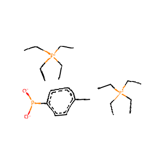 CC[P+](CC)(CC)CC.CC[P+](CC)(CC)CC.Cc1ccc(P([O-])[O-])cc1